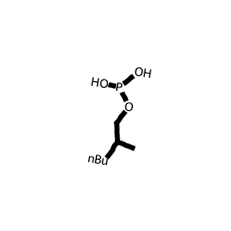 CCCCC(C)COP(O)O